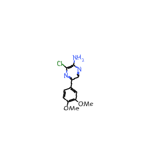 COc1ccc(-c2cnc(N)c(Cl)n2)cc1OC